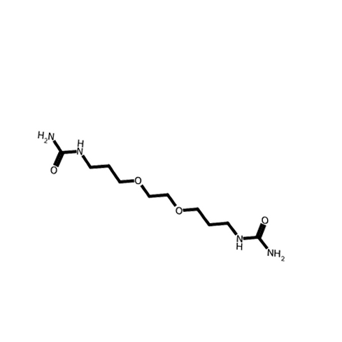 NC(=O)NCCCOCCOCCCNC(N)=O